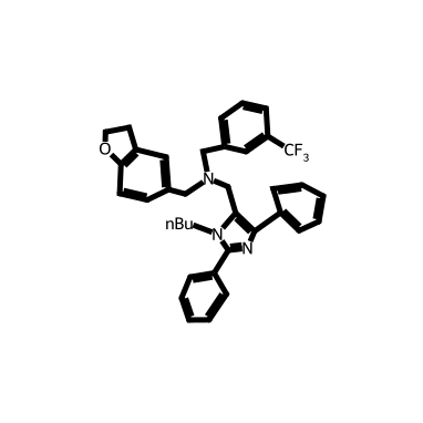 CCCCn1c(-c2ccccc2)nc(-c2ccccc2)c1CN(Cc1cccc(C(F)(F)F)c1)Cc1ccc2c(c1)CCO2